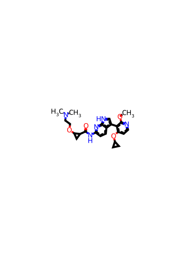 COc1nccc(OC2CC2)c1-c1c[nH]c2nc(NC(=O)C3CC3OCCN(C)C)ccc12